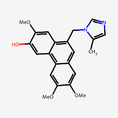 COc1cc2c(Cn3cncc3C)cc3cc(OC)c(OC)cc3c2cc1O